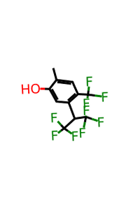 Cc1cc(C(F)(F)F)c(C(C(F)(F)F)C(F)(F)F)cc1O